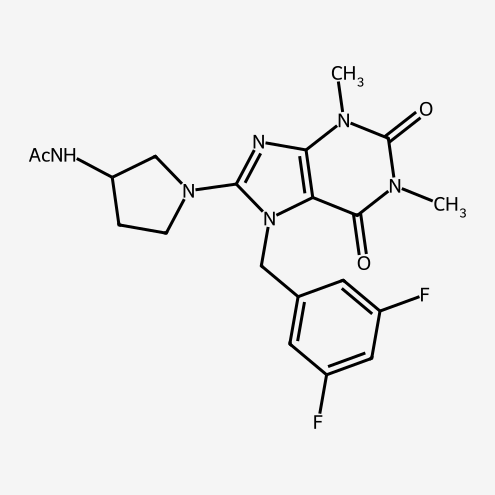 CC(=O)NC1CCN(c2nc3c(c(=O)n(C)c(=O)n3C)n2Cc2cc(F)cc(F)c2)C1